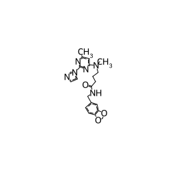 Cc1cc(N(C)CCCC(=O)NCc2ccc3c(c2)OCO3)nc(-n2ccnc2)n1